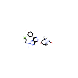 COCCN1C(C)(C)CC(Oc2ncc([C@H]3CC[C@H](O)CC3)c3nc(N[C@@H](C)CC(F)(F)F)ncc23)CC1(C)C